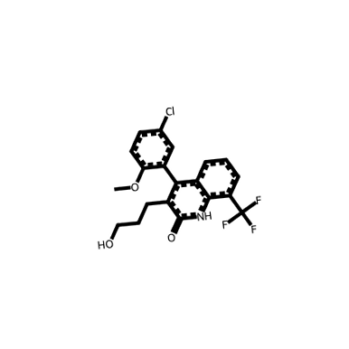 COc1ccc(Cl)cc1-c1c(CCCO)c(=O)[nH]c2c(C(F)(F)F)cccc12